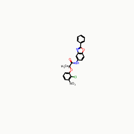 C[C@H](Oc1cccc([N+](=O)[O-])c1Cl)C(=O)Nc1ccc2oc(-c3ccccc3)nc2c1